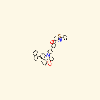 c1ccc(-c2nc3c(ccc4oc5cc(-c6ccc(N(c7ccc(-c8cccc9ccccc89)cc7)c7cccc8oc9ccccc9c78)cc6)ccc5c43)s2)cc1